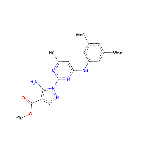 COc1cc(Nc2cc(C#N)nc(-n3ncc(C(=O)OC(C)(C)C)c3N)n2)cc(OC)c1